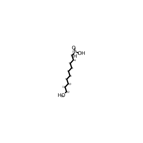 O=[PH](O)CCCCCCCCCCO